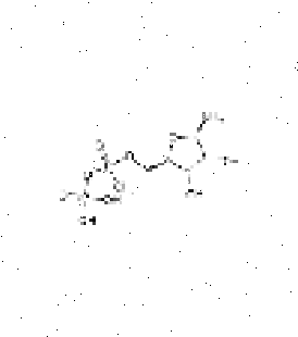 B[C@@H]1O[C@H](COP(C)(=O)OP(=O)(O)O)[C@@H](O)[C@H]1O